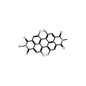 CC(C)N1C(=O)c2cc(Cl)c3c4c(Cl)cc5c6c(cc(Cl)c(c7c(Cl)cc(c2c37)C1=O)c64)C(=O)N(C)C5=O